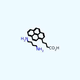 NCCCCN.O=C(O)CCCc1ccc2ccc3cccc4ccc1c2c34